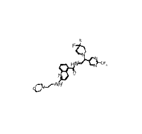 O=C(NCC(c1cnc(C(F)(F)F)nc1)N1CCC(F)(F)CC1)c1cccc2nc(NCCN3CCOCC3)ccc12